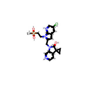 CCS(=O)(=O)CCn1c(CN2C(=O)C3(CC3)c3ccncc32)cc2cc(Cl)cnc21